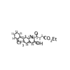 CCOC(=O)CCC(=O)c1nc2cc(-c3ccccc3C(F)(F)F)ccc2cc1O